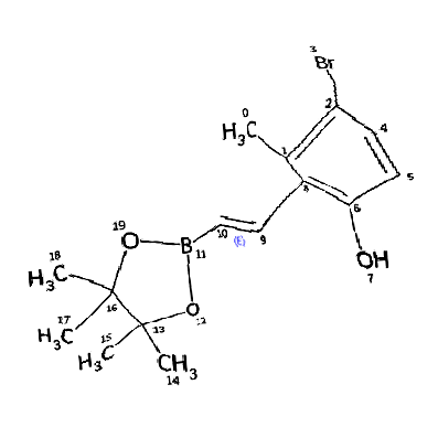 Cc1c(Br)ccc(O)c1/C=C/B1OC(C)(C)C(C)(C)O1